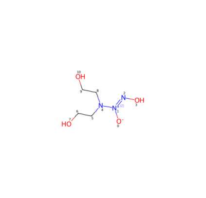 [O-]/[N+](=N\O)N(CCO)CCO